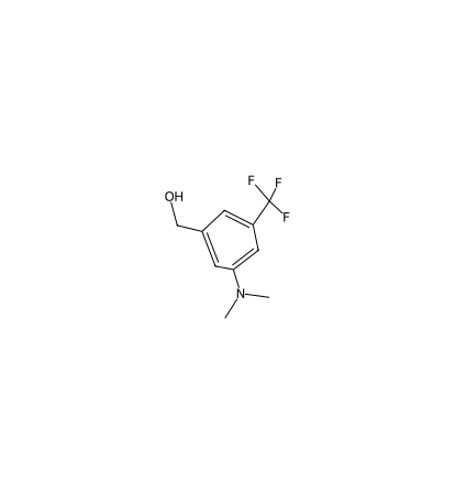 CN(C)c1cc(CO)cc(C(F)(F)F)c1